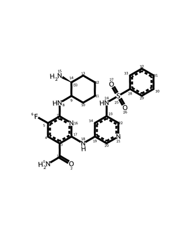 NC(=O)c1cc(F)c(NC2CCCC[C@@H]2N)nc1Nc1cncc(NS(=O)(=O)c2ccccc2)c1